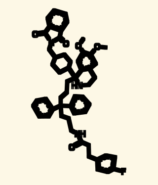 COc1cc2c(cc1OC)C(CCCC(CCCNC(=O)CCc1ccc(F)cc1)(c1ccccc1)c1ccccc1)(C1CCC(CN3C(=O)c4ccccc4C3=O)CC1)NCC2